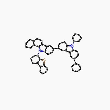 c1ccc(-c2ccc3c(c2)c2cc(-c4ccc5c(c4)c4ccc6ccccc6c4n5-c4cccc5c4sc4ccccc45)ccc2n3-c2ccccc2)cc1